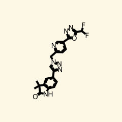 CC1(C)C(=O)Nc2ccc(-c3cn(Cc4ccc(-c5nnc(C(F)F)o5)cn4)nn3)cc21